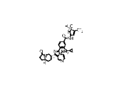 Cn1nc(NC(=O)c2ccc(C3=NC([C@@H]4CC[C@H]5CCC(=O)N5C4)=C4C=NC=C[N+]34N)c(OC3CC3)c2)cc1C(F)(F)F